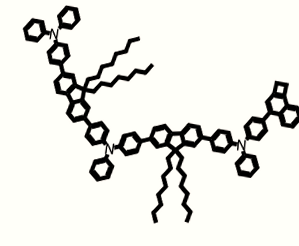 CCCCCCCCC1(CCCCCCCC)c2cc(-c3ccc(N(c4ccccc4)c4ccccc4)cc3)ccc2-c2ccc(-c3ccc(N(c4ccccc4)c4ccc(-c5ccc6c(c5)C(CCCCCCCC)(CCCCCCCC)c5cc(-c7ccc(N(c8ccccc8)c8ccc(-c9cc%10c(c%11ccccc9%11)CC%10)cc8)cc7)ccc5-6)cc4)cc3)cc21